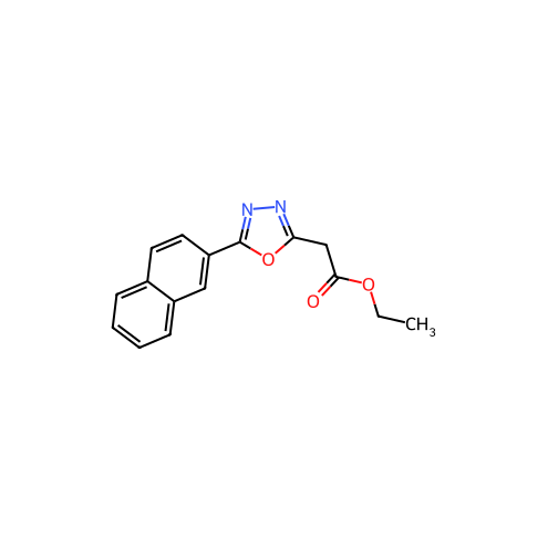 CCOC(=O)Cc1nnc(-c2ccc3ccccc3c2)o1